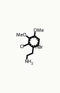 Br.COc1ccc(CCN)c(Cl)c1OC